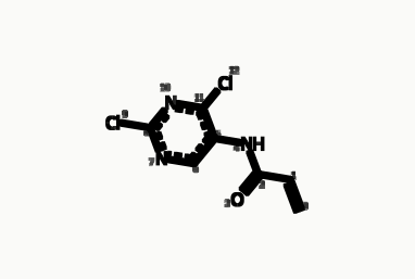 C=CC(=O)Nc1cnc(Cl)nc1Cl